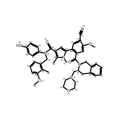 COc1cc(C(=O)N2Cc3ccccc3C[C@H]2CN2CCOCC2)c(-c2cc(C(=O)N(Cc3cccc(OC)c3C)c3ccc(O)cc3)c(C)n2C)cc1C#N